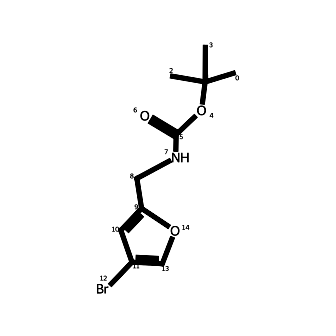 CC(C)(C)OC(=O)NCc1cc(Br)co1